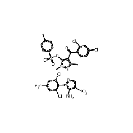 Cc1ccc(S(=O)(=O)Oc2c(C(=O)c3ccc(Cl)cc3Cl)c(C)nn2C)cc1.Nc1c([N+](=O)[O-])cnn1-c1c(Cl)cc(C(F)(F)F)cc1Cl